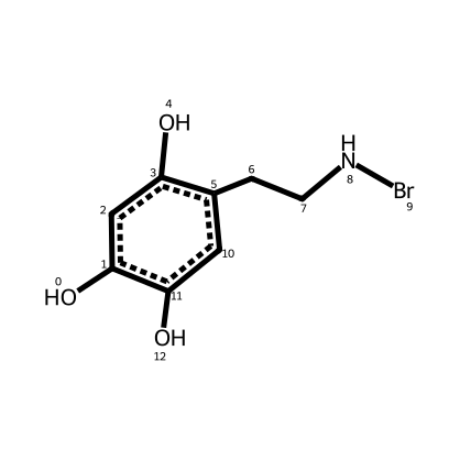 Oc1cc(O)c(CCNBr)cc1O